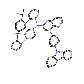 CC1(C)c2ccccc2-c2ccc(N(c3cc(-c4ccc(-n5c6ccccc6c6ccccc65)cc4)c4ccccc4c3)c3cccc4c3-c3ccccc3C4(C)C)cc21